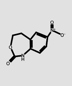 O=C1Nc2ccc([N+](=O)[O-])cc2CCO1